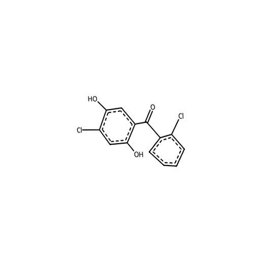 O=C(c1cc(O)c(Cl)cc1O)c1ccccc1Cl